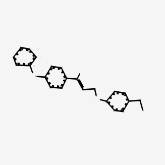 C/C(=C\COc1ccc(CC(=O)O)cc1)c1ccc(Oc2ccccc2)cc1